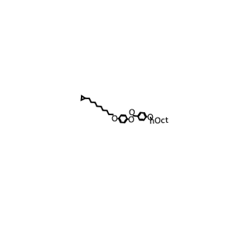 CCCCCCCCOc1ccc(C(=O)Oc2ccc(OCCCCCCCCCC3CC3)cc2)cc1